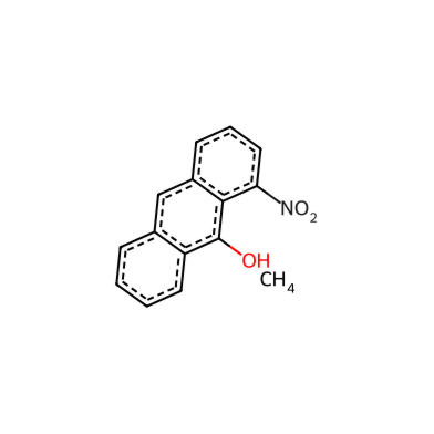 C.O=[N+]([O-])c1cccc2cc3ccccc3c(O)c12